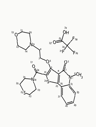 Cn1c(=O)c2c(OCCN3CCOCC3)c(C(=O)N3CCSCC3)sc2c2ccccc21.O=C(O)C(F)(F)F